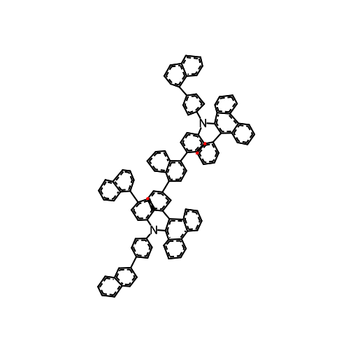 c1ccc(-c2c(N(c3ccc(-c4cccc5ccccc45)cc3)c3ccc(-c4ccc(-c5cccc(-c6c(N(c7ccc(-c8ccc9ccccc9c8)cc7)c7ccc(-c8cccc9ccccc89)cc7)c7ccccc7c7ccccc67)c5)c5ccccc45)cc3)c3ccccc3c3ccccc23)cc1